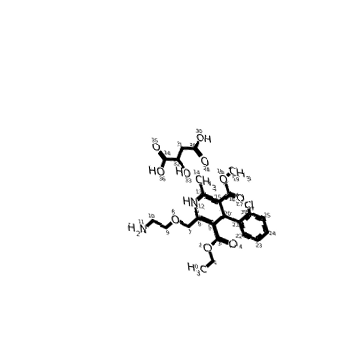 CCOC(=O)C1=C(COCCN)NC(C)=C(C(=O)OC)C1c1ccccc1Cl.O=C(O)CC(O)C(=O)O